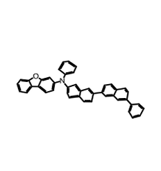 c1ccc(-c2ccc3ccc(-c4ccc5ccc(N(c6ccccc6)c6ccc7c(c6)oc6ccccc67)cc5c4)cc3c2)cc1